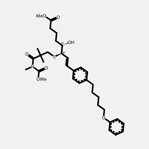 COC(=O)CCC[C@H](O)[C@@H](C=Cc1ccc(CCCCCOc2ccccc2)cc1)SCC(C)(C)C(=O)N(C)C(=O)OC